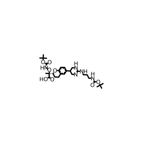 CC(C)(C)OC(=O)NCCCNC1=NCC(c2ccc3c(c2)CC[C@H](C(C)(ONC(=O)OC(C)(C)C)C(=O)O)O3)CN1